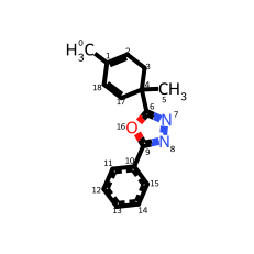 CC1=CCC(C)(c2nnc(-c3ccccc3)o2)C=C1